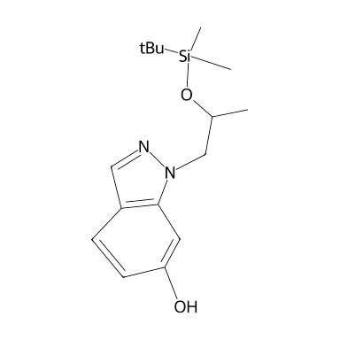 CC(Cn1ncc2ccc(O)cc21)O[Si](C)(C)C(C)(C)C